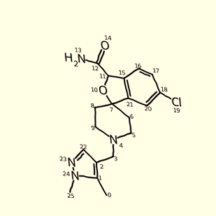 Cc1c(CN2CCC3(CC2)OC(C(N)=O)c2ccc(Cl)cc23)cnn1C